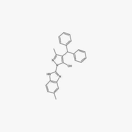 Cc1ccc2[nH]c(-n3nc(C)c(C(c4ccccc4)c4ccccc4)c3O)nc2c1